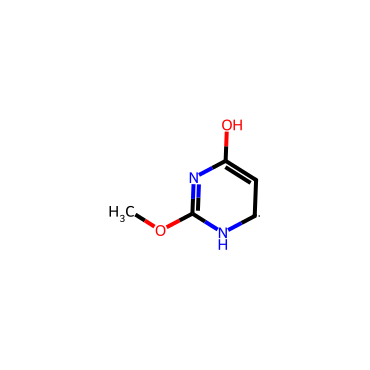 COC1=NC(O)=C[CH]N1